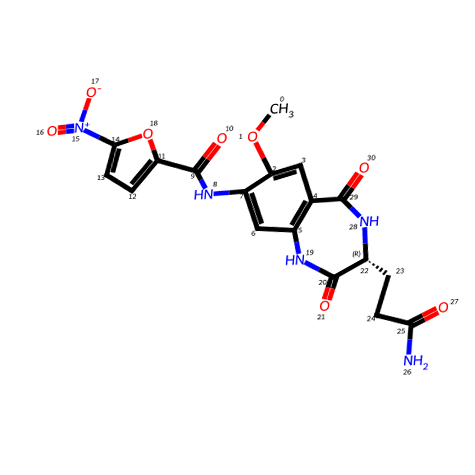 COc1cc2c(cc1NC(=O)c1ccc([N+](=O)[O-])o1)NC(=O)[C@@H](CCC(N)=O)NC2=O